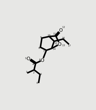 CCC(C)C(=O)OC1CCC2C(=O)OC1C2CC